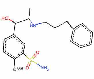 COc1ccc(C(O)C(C)NCCCc2ccccc2)cc1S(N)(=O)=O